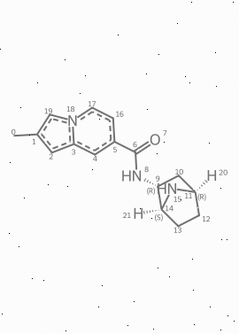 Cc1cc2cc(C(=O)N[C@@H]3C[C@H]4CC[C@@H]3N4)ccn2c1